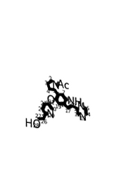 CC(=O)N1CCCC1c1cc2[nH]c(-c3cnccn3)cc2cc1Oc1ccc(CCO)nc1